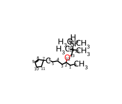 CCC(CCCCC1C=CCC1)OCC(C)(C)[SiH](C)C